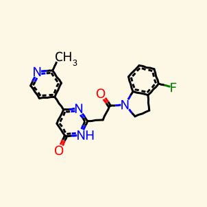 Cc1cc(-c2cc(=O)[nH]c(CC(=O)N3CCc4c(F)cccc43)n2)ccn1